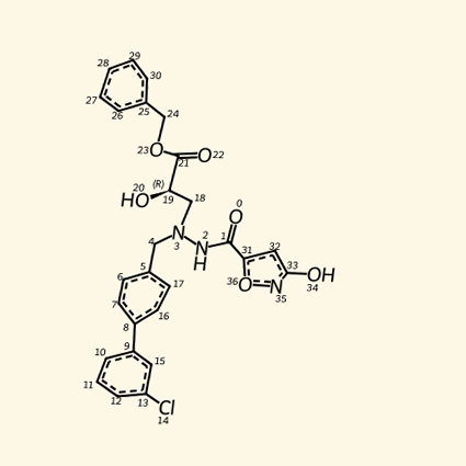 O=C(NN(Cc1ccc(-c2cccc(Cl)c2)cc1)C[C@@H](O)C(=O)OCc1ccccc1)c1cc(O)no1